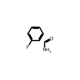 Fc1ccccc1.NC=O